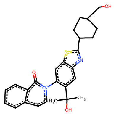 CC(C)(O)c1cc2nc(C3CCC(CO)CC3)sc2cc1-n1ccc2ccccc2c1=O